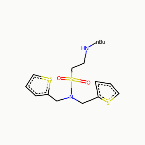 CCCCNCCS(=O)(=O)N(Cc1cccs1)Cc1cccs1